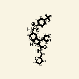 CC(C)(C)c1ccc(S(=O)(=O)Nc2cnc3[nH]c(C(=O)NCC4CCCO4)c(-c4ccsc4)c3c2)cc1